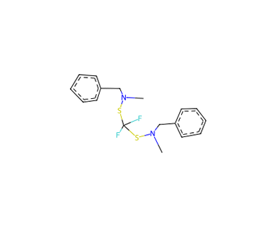 CN(Cc1ccccc1)SC(F)(F)SN(C)Cc1ccccc1